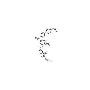 Cc1ccc(N2CCN(C)CC2)cc1C(=O)N[C@H](C)c1cccc(-c2cccc(C(=O)NCCN)c2)c1